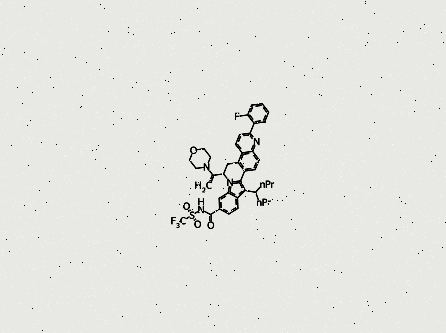 C=C(C1Cc2c(ccc3nc(-c4ccccc4F)ccc23)-c2c(C(CCC)CCC)c3ccc(C(=O)NS(=O)(=O)C(F)(F)F)cc3n21)N1CCOCC1